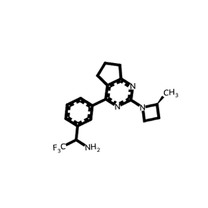 C[C@H]1CCN1c1nc2c(c(-c3cccc(C(N)C(F)(F)F)c3)n1)CCC2